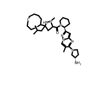 Cc1cn2nc([C@@H]3CCCCN3C(=O)C3CC(CC(C)C)(C4CCCCCCCC4)NN3C)cc2nc1N1CC[C@H](N)C1